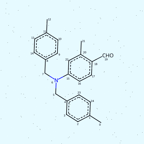 Cc1ccc(CN(Cc2ccc(C)cc2)c2ccc(C=O)c(C)c2)cc1